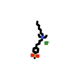 CCCCCCC[N+](CC)(CC)CC=CCc1ccc(S(C)(=O)=O)cc1.[Cl-]